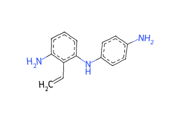 C=Cc1c(N)cccc1Nc1ccc(N)cc1